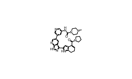 CN1CCN(C(=O)Nc2cncc(-c3cnc4[nH]nc(-c5cc6c([nH]5)CCC=C6C(=O)N5CCCC5)c4c3)c2)CC1